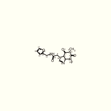 CN1C(=O)C2C(N=CN2CC(=O)NCc2ccco2)N(F)C1=O